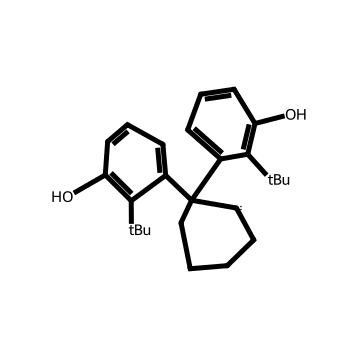 CC(C)(C)c1c(O)cccc1C1(c2cccc(O)c2C(C)(C)C)[C]CCCC1